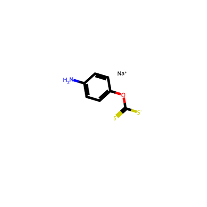 Nc1ccc(OC(=S)[S-])cc1.[Na+]